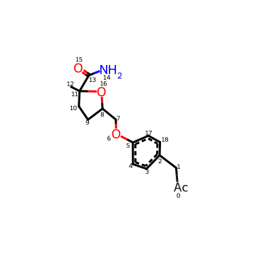 CC(=O)Cc1ccc(OCC2CCC(C)(C(N)=O)O2)cc1